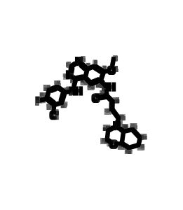 COc1cc2ncnc(Nc3ccc(F)c(Cl)c3)c2cc1NC(=O)C=CCN1CCOC2CCCCC21